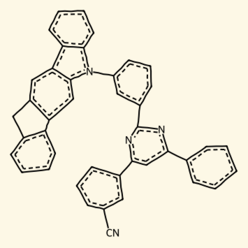 N#Cc1cccc(-c2cc(-c3ccccc3)nc(-c3cccc(-n4c5ccccc5c5cc6c(cc54)-c4ccccc4C6)c3)n2)c1